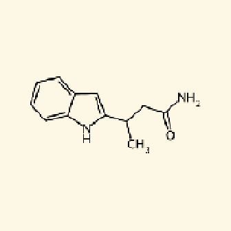 CC(CC(N)=O)c1cc2ccccc2[nH]1